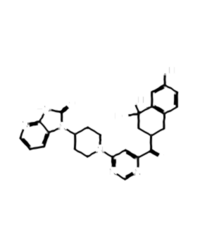 Cc1ccc2c(c1)C(C)(C)CC(C(=O)c1cc(N3CCC(n4c(=O)[nH]c5ncccc54)CC3)ncn1)C2